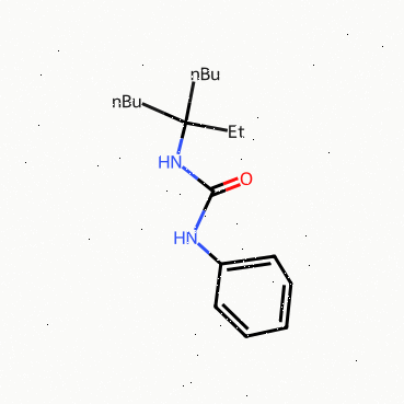 CCCCC(CC)(CCCC)NC(=O)Nc1ccccc1